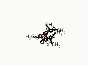 C=CCOc1ccc(C23CC4CC(C2)CC(C25CC6CC(c7ccc(OCC=C)cc7OCC=C)(CC(c7ccc(OCC=C)cc7OCC=C)(C6)C2)C5)(C4)C3)c(OCC=C)c1